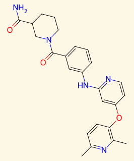 Cc1ccc(Oc2ccnc(Nc3cccc(C(=O)N4CCCC(C(N)=O)C4)c3)c2)c(C)n1